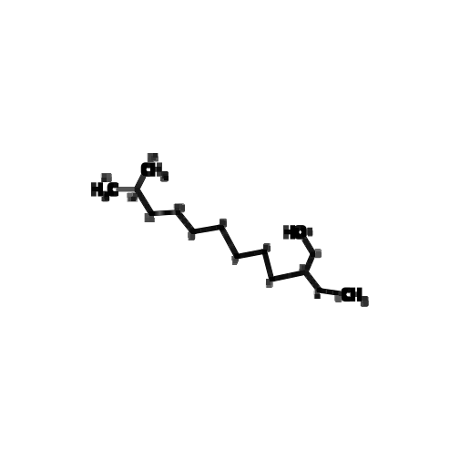 CCC(CO)CCCCCCCC(C)C